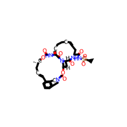 C[C@H]1CC/C=C/c2cccc3c2CN(C3)C(=O)O[C@H]2C[C@H]3C(=O)NC(C(=O)NS(=O)(=O)C4CC4)C/C=C\CCCCC[C@H](NC(=O)OC1)C(=O)N3C2